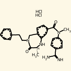 C[C@H]1Nc2cc(C(=O)N(C)c3ccc(C(=N)N)cc3)ccc2CN(CCc2ccccc2)C1=O.Cl.Cl